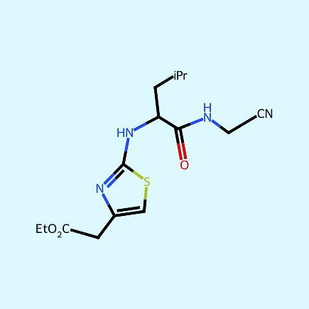 CCOC(=O)Cc1csc(NC(CC(C)C)C(=O)NCC#N)n1